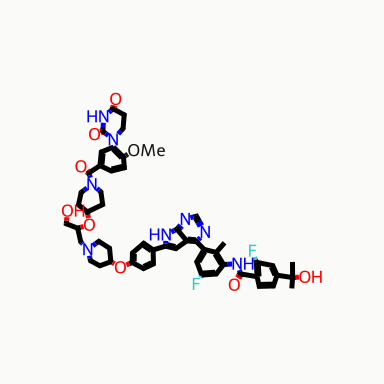 COc1ccc(C(=O)N2CCC(OC(CO)CN3CCC(Oc4ccc(-c5cc6c(-c7cc(F)cc(NC(=O)c8ccc(C(C)(C)O)cc8F)c7C)ncnc6[nH]5)cc4)CC3)CC2)cc1N1CCC(=O)NC1=O